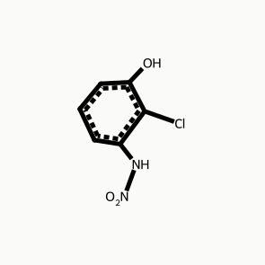 O=[N+]([O-])Nc1cccc(O)c1Cl